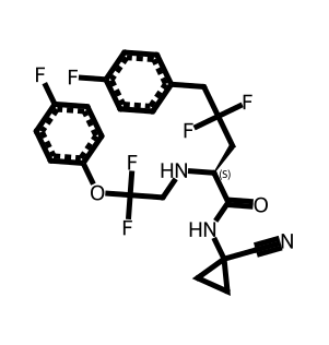 N#CC1(NC(=O)[C@H](CC(F)(F)Cc2ccc(F)cc2)NCC(F)(F)Oc2ccc(F)cc2)CC1